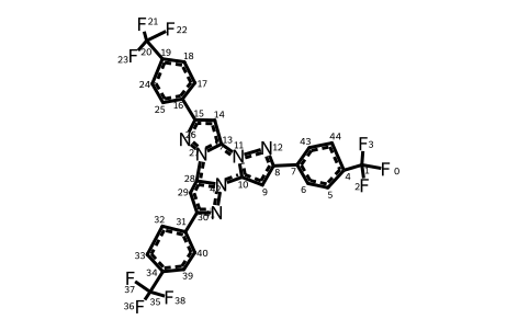 FC(F)(F)c1ccc(-c2cc3n(n2)c2cc(-c4ccc(C(F)(F)F)cc4)nn2c2cc(-c4ccc(C(F)(F)F)cc4)nn32)cc1